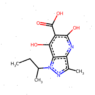 CCC(C)n1nc(C)c2nc(O)c(C(=O)O)c(O)c21